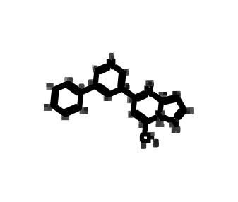 FC(F)(F)c1cc(-c2cncc(-c3ccccc3)c2)nc2ccnn12